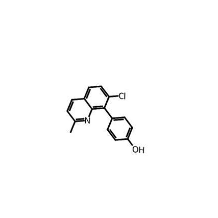 Cc1ccc2ccc(Cl)c(-c3ccc(O)cc3)c2n1